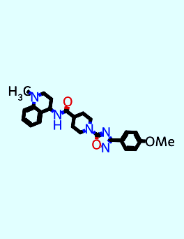 COc1ccc(-c2noc(N3CCC(C(=O)NC4CCN(C)c5ccccc54)CC3)n2)cc1